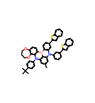 Cc1cc2c3c(c1)N(c1ccc(C(C)(C)C)cc1)c1c(ccc4c1OCCCO4)B3c1ccc(-c3cc4ccccc4s3)cc1N2c1cccc(-c2cc3ccccc3s2)c1